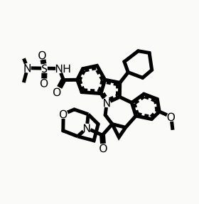 COc1ccc2c(c1)C1CC1(C(=O)N1C3CCC1COC3)Cn1c-2c(C2CCCCC2)c2ccc(C(=O)NS(=O)(=O)N(C)C)cc21